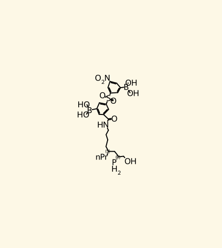 CCC[C@@H](CCCCNC(=O)c1cc(B(O)O)cc(S(=O)(=O)c2cc(B(O)O)cc([N+](=O)[O-])c2)c1)C[C@@H](P)CO